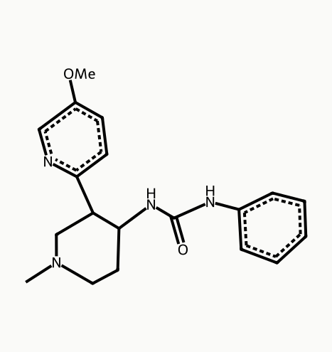 COc1ccc(C2CN(C)CCC2NC(=O)Nc2ccccc2)nc1